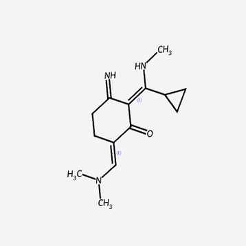 CN/C(=C1\C(=N)CC/C(=C\N(C)C)C1=O)C1CC1